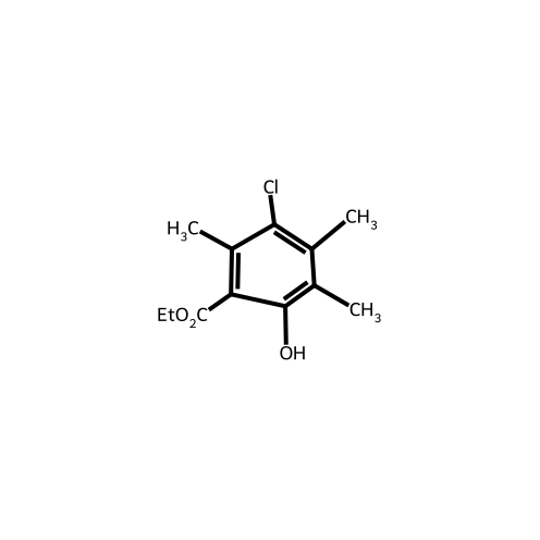 CCOC(=O)c1c(C)c(Cl)c(C)c(C)c1O